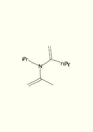 C=C(C)N(C(=C)CCC)C(C)C